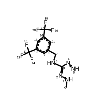 CN/N=C(\N=N)NCc1cc(C(F)(F)F)cc(C(F)(F)F)c1